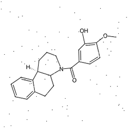 COc1ccc(C(=O)N2CCC[C@@H]3c4ccccc4CCC32)cc1O